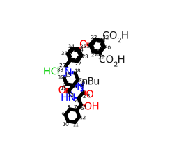 CCCCN1C(=O)[C@@H]([C@H](O)C2CCCCC2)NC(=O)C12CCN(Cc1ccc(Oc3cc(C(=O)O)cc(C(=O)O)c3)cc1)CC2.Cl